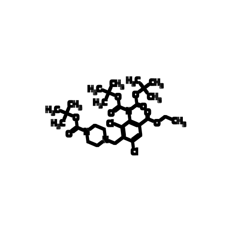 CCOC(=O)c1cc(Cl)c(CN2CCN(C(=O)OC(C)(C)C)CC2)c(Cl)c1N(C(=O)OC(C)(C)C)C(=O)OC(C)(C)C